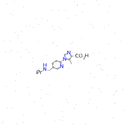 Cc1c(C(=O)O)ncn1-c1ccc(CNC(C)C)cn1